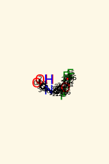 O=C(O)[C@H]1CC[C@H](CNCc2ccc3c(C(F)F)c(OC4CCC(C(F)(F)F)CC4)ccc3c2)CC1